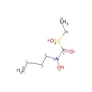 CCCCN(O)C(=O)[S+]([O-])CC